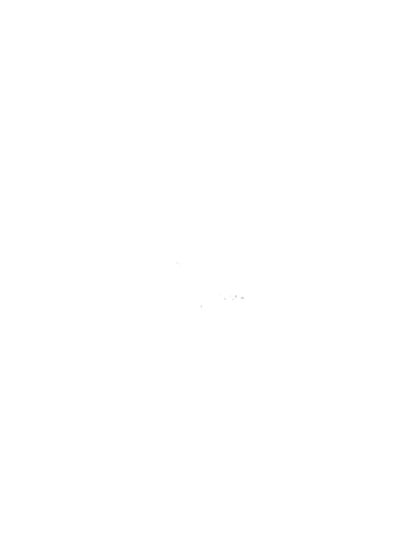 CN/N=C\NI